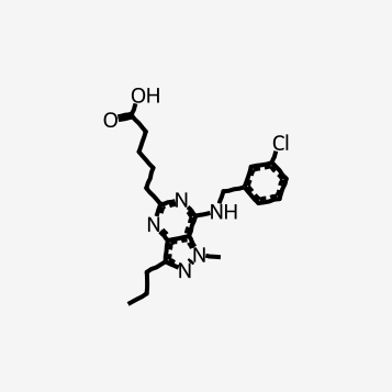 CCCc1nn(C)c2c(NCc3cccc(Cl)c3)nc(CCCCC(=O)O)nc12